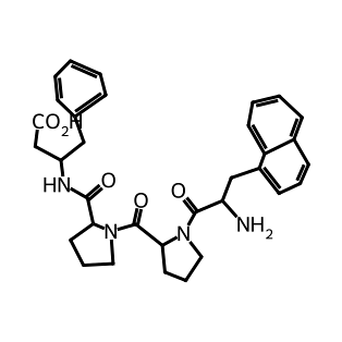 NC(Cc1cccc2ccccc12)C(=O)N1CCCC1C(=O)N1CCCC1C(=O)NC(CC(=O)O)Cc1ccccc1